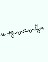 COCC(=O)NCCOCCOCCOCCNC(=O)C(C)C